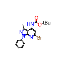 Cc1nn(-c2ccccc2)c2nc(Br)cc(NC(=O)OC(C)(C)C)c12